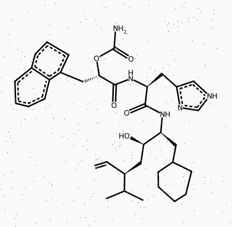 C=C[C@@H](C[C@@H](O)[C@H](CC1CCCCC1)NC(=O)[C@H](Cc1c[nH]cn1)NC(=O)[C@H](Cc1cccc2ccccc12)OC(N)=O)C(C)C